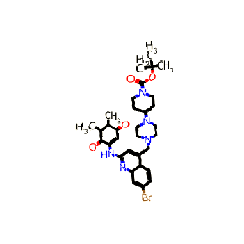 CC1C(=O)C=C(NC2=NC3C=C(Br)C=CC3C(CN3CCN(C4CCN(C(=O)OC(C)(C)C)CC4)CC3)=C2)C(=O)C1C